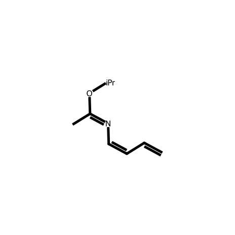 C=C/C=C\N=C(/C)OC(C)C